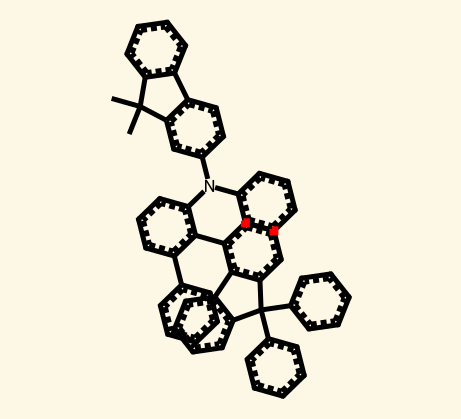 CC1(C)c2ccccc2-c2ccc(N(c3ccccc3)c3cccc(-c4ccccc4)c3-c3cccc4c3-c3ccccc3C4(c3ccccc3)c3ccccc3)cc21